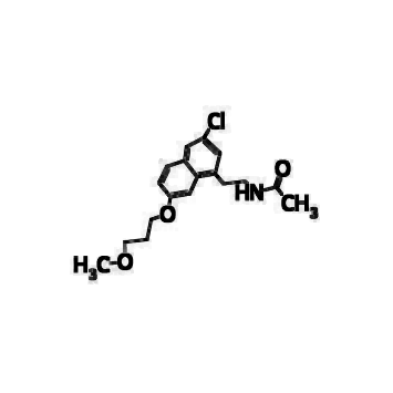 COCCCOc1ccc2cc(Cl)cc(CCNC(C)=O)c2c1